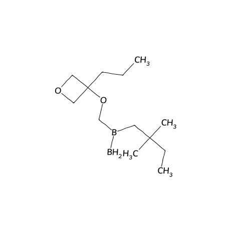 BB(COC1(CCC)COC1)CC(C)(C)CC